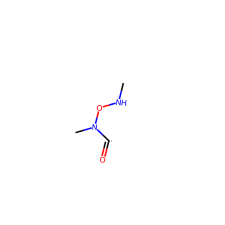 CNON(C)[C]=O